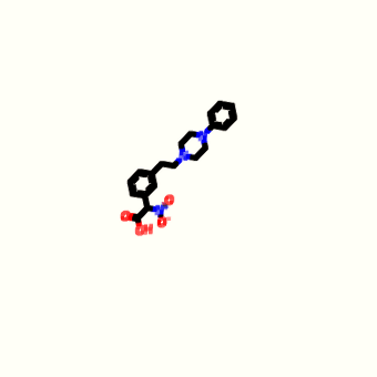 O=C(O)C(c1cccc(CCN2CCN(c3ccccc3)CC2)c1)[N+](=O)[O-]